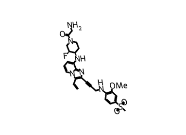 C=Cc1c(C#CCNc2ccc(S(C)(=O)=O)cc2OC)nc2c(N[C@@H]3CCN(C(=O)CN)C[C@@H]3F)cccn12